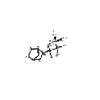 O=S(=O)(Cl)C(F)(F)C(F)(F)C1CC2CCC1C2